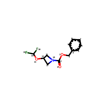 O=C(OCc1ccccc1)N1CC(OC(F)F)C1